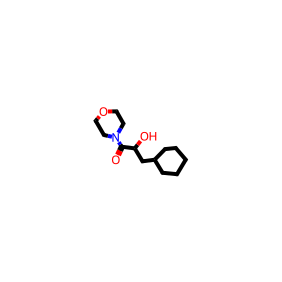 O=C(C(O)CC1CCCCC1)N1CCOCC1